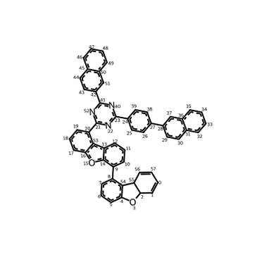 C1=CC2Oc3cccc(-c4cccc5c4oc4cccc(-c6nc(-c7ccc(-c8ccc9ccccc9c8)cc7)nc(-c7ccc8ccccc8c7)n6)c45)c3C2C=C1